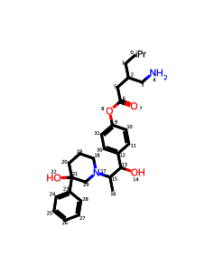 CC(C)CC(CN)CC(=O)Oc1ccc(C(O)C(C)N2CCCC(O)(c3ccccc3)C2)cc1